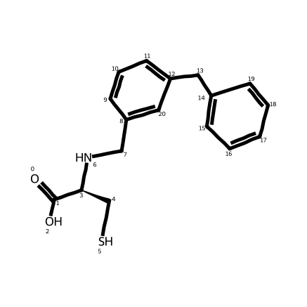 O=C(O)[C@H](CS)NCc1cccc(Cc2ccccc2)c1